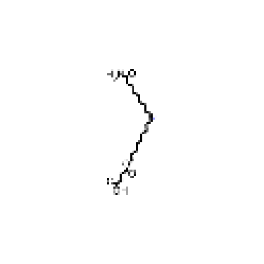 NC(=O)CCCCCCC/C=C\CCCCCCCCOC(=O)CCC(=O)O